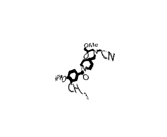 COCC1CN(CC#N)CC2(CCN(C(=O)c3ccc(OC(C)C)c(C)c3)CC2)O1